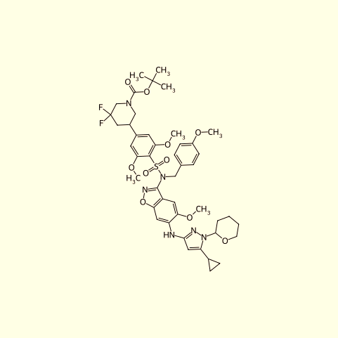 COc1ccc(CN(c2noc3cc(Nc4cc(C5CC5)n(C5CCCCO5)n4)c(OC)cc23)S(=O)(=O)c2c(OC)cc(C3CN(C(=O)OC(C)(C)C)CC(F)(F)C3)cc2OC)cc1